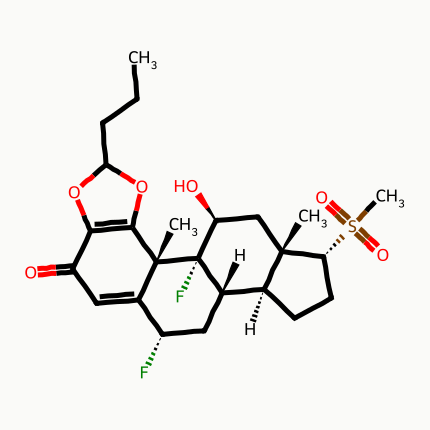 CCCC1OC2=C(O1)[C@@]1(C)C(=CC2=O)[C@@H](F)C[C@H]2[C@@H]3CC[C@@H](S(C)(=O)=O)[C@@]3(C)C[C@H](O)[C@@]21F